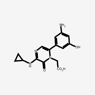 Nc1cc(O)cc(-c2cnc(NC3CC3)c(=O)n2CC(=O)O)c1